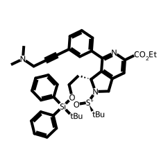 CCOC(=O)c1cc2c(c(-c3cccc(C#CCN(C)C)c3)n1)[C@@H](CCO[Si](c1ccccc1)(c1ccccc1)C(C)(C)C)N([S@+]([O-])C(C)(C)C)C2